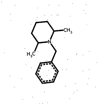 CC1CCCC(C)N1Cc1ccccc1